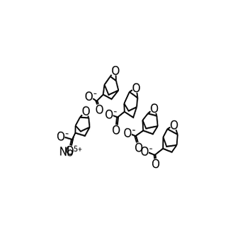 O=C([O-])C1CC2CC1C1OC21.O=C([O-])C1CC2CC1C1OC21.O=C([O-])C1CC2CC1C1OC21.O=C([O-])C1CC2CC1C1OC21.O=C([O-])C1CC2CC1C1OC21.[Nb+5]